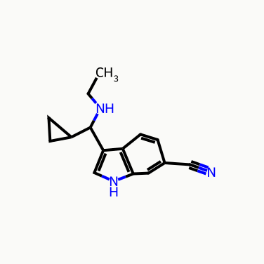 CCNC(c1c[nH]c2cc(C#N)ccc12)C1CC1